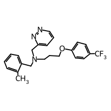 Cc1ccccc1CN(CCCOc1ccc(C(F)(F)F)cc1)Cc1cccnn1